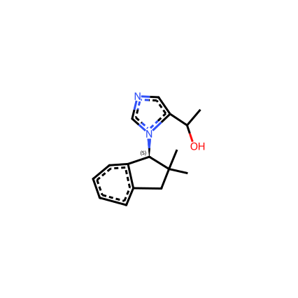 CC(O)c1cncn1[C@@H]1c2ccccc2CC1(C)C